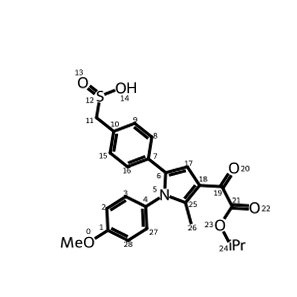 COc1ccc(-n2c(-c3ccc(CS(=O)O)cc3)cc(C(=O)C(=O)OC(C)C)c2C)cc1